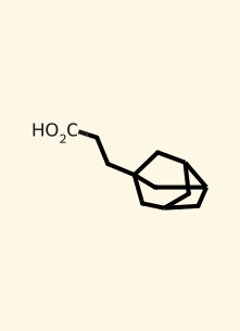 O=C(O)CCC12CC3CC(C1)C(C3)C2